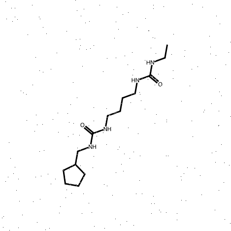 CCNC(=O)NCCCCNC(=O)NCC1CCCC1